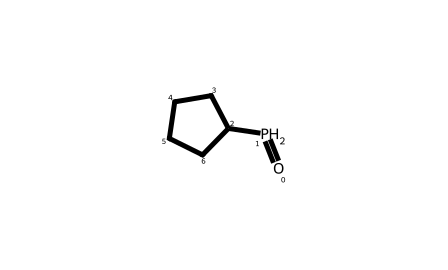 O=[PH2]C1CCCC1